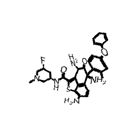 Cc1cc(Oc2ccccc2)ccc1C1(N)C(=O)C(N)c2c(C(=O)N[C@@H]3C[C@H](F)CN(C)C3)sc3c(N)ccc1c23